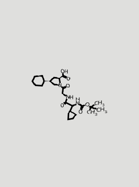 CC(C)(C)OC(=O)NC(C(=O)NCC(=O)N1C[C@H](C2CCCCC2)C[C@H]1C(=O)O)C1CCCC1